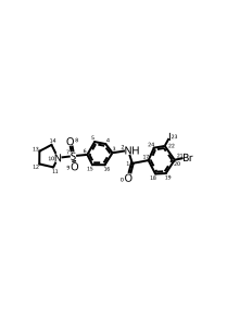 O=C(Nc1ccc(S(=O)(=O)N2CCCC2)cc1)c1ccc(Br)c(I)c1